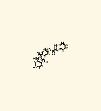 COc1ccc(F)cc1NS(=O)(=O)c1ccc(NC(=O)NCc2cccnc2)cc1